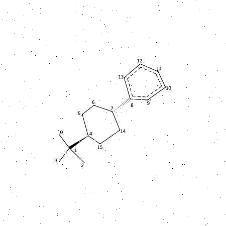 CC(C)(C)[C@H]1CC[C@H](c2[c]cccc2)CC1